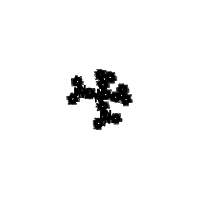 c1ccc(-c2nc(-c3ccccc3)nc(-c3ccc(-c4nc(-c5ccc(-c6nc(-c7ccccc7)nc(-c7ccccc7)n6)cc5)c5cc(-c6ccc7c8ccccc8c8ccccc8c7c6)cc(-c6ccc7c8ccccc8c8ccccc8c7c6)c5n4)cc3)n2)cc1